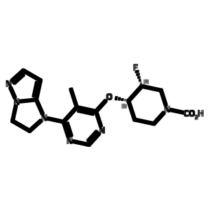 Cc1c(O[C@H]2CCN(C(=O)O)C[C@H]2F)ncnc1N1CCn2nccc21